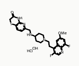 COc1cc(F)c2ncc(F)c(CCN3CCC(NCc4ccc5c(n4)NC(=O)CS5)CC3)c2c1.Cl.Cl